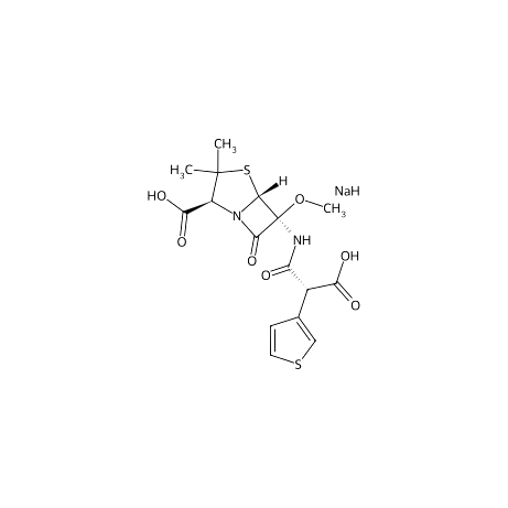 CO[C@@]1(NC(=O)[C@H](C(=O)O)c2ccsc2)C(=O)N2[C@@H](C(=O)O)C(C)(C)S[C@@H]21.[NaH]